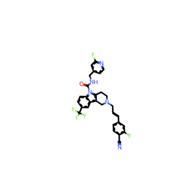 N#Cc1ccc(C=CCN2CCc3c(c4cc(C(F)(F)F)ccc4n3C(=O)NCc3ccnc(F)c3)C2)cc1F